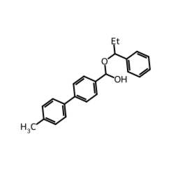 CCC(OC(O)c1ccc(-c2ccc(C)cc2)cc1)c1ccccc1